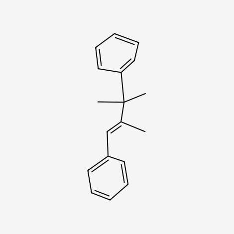 C/C(=C\c1ccccc1)C(C)(C)c1ccccc1